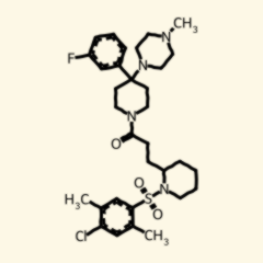 Cc1cc(S(=O)(=O)N2CCCCC2CCC(=O)N2CCC(c3cccc(F)c3)(N3CCN(C)CC3)CC2)c(C)cc1Cl